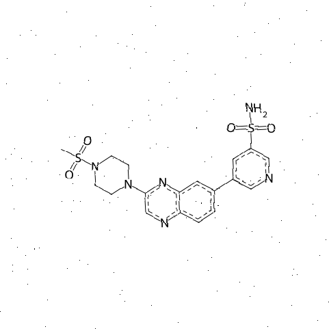 CS(=O)(=O)N1CCN(c2cnc3ccc(-c4cncc(S(N)(=O)=O)c4)cc3n2)CC1